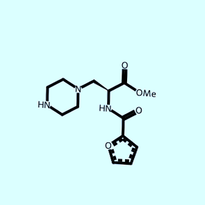 COC(=O)[C@H](CN1CCNCC1)NC(=O)c1ccco1